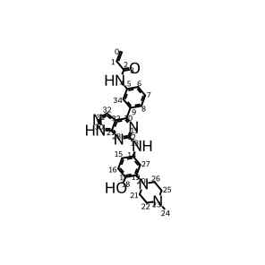 C=CC(=O)Nc1cccc(-c2nc(Nc3ccc(O)c(N4CCN(C)CC4)c3)nc3[nH]ncc23)c1